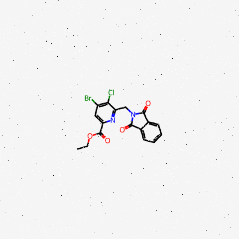 CCOC(=O)c1cc(Br)c(Cl)c(CN2C(=O)c3ccccc3C2=O)n1